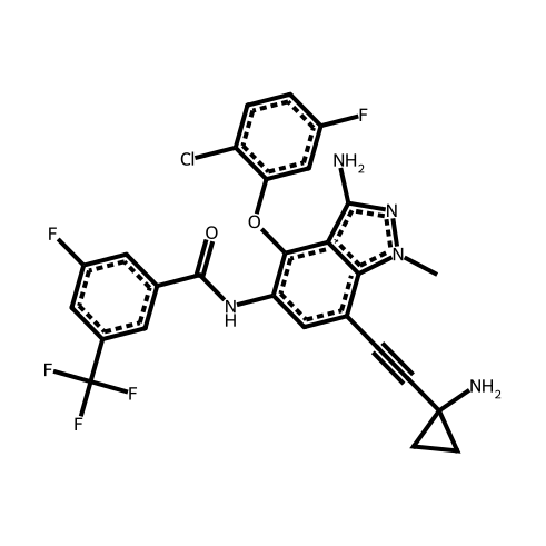 Cn1nc(N)c2c(Oc3cc(F)ccc3Cl)c(NC(=O)c3cc(F)cc(C(F)(F)F)c3)cc(C#CC3(N)CC3)c21